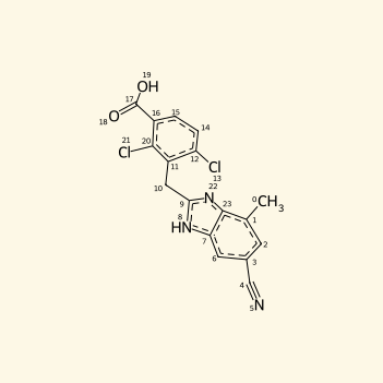 Cc1cc(C#N)cc2[nH]c(Cc3c(Cl)ccc(C(=O)O)c3Cl)nc12